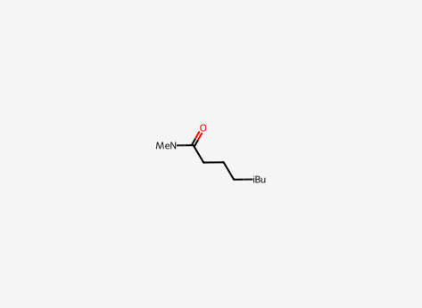 CCC(C)CCCC(=O)NC